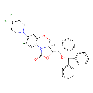 O=C1O[C@@H](COC(c2ccccc2)(c2ccccc2)c2ccccc2)[C@@H]2COc3cc(N4CCC(F)(F)CC4)c(F)cc3N12